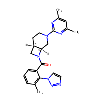 Cc1cc(C)nc(N2CC[C@@H]3CN(C(=O)c4cccc(C)c4-n4ccnn4)[C@@H]3C2)n1